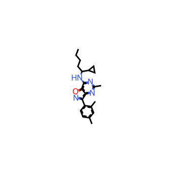 CCCCC(Nc1nc(C)nc2c(-c3ccc(C)cc3C)noc12)C1CC1